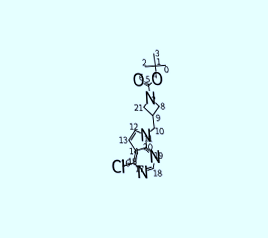 CC(C)(C)OC(=O)N1CC(Cn2ccc3c(Cl)ncnc32)C1